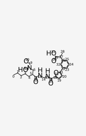 CCCCCC(CN(O)C=O)C(=O)NCNC(=O)c1ccc(-c2cccc(C(C)C(=O)O)c2)o1